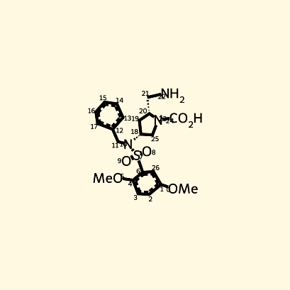 COc1ccc(OC)c(S(=O)(=O)N(Cc2ccccc2)[C@@H]2C[C@H](CN)N(C(=O)O)C2)c1